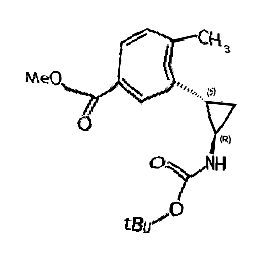 COC(=O)c1ccc(C)c([C@@H]2C[C@H]2NC(=O)OC(C)(C)C)c1